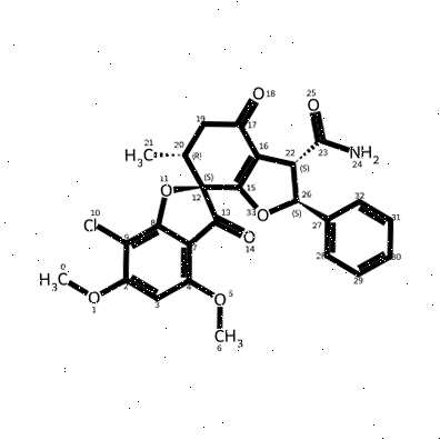 COc1cc(OC)c2c(c1Cl)O[C@]1(C2=O)C2=C(C(=O)C[C@H]1C)[C@H](C(N)=O)[C@@H](c1ccccc1)O2